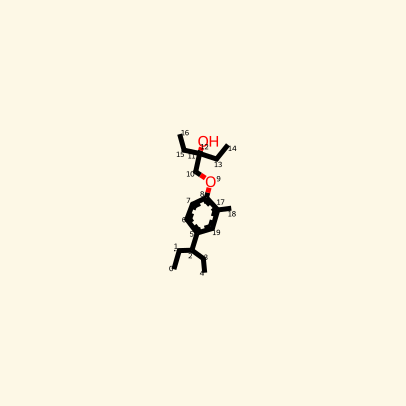 C[CH]C(CC)c1ccc(OCC(O)(CC)CC)c(C)c1